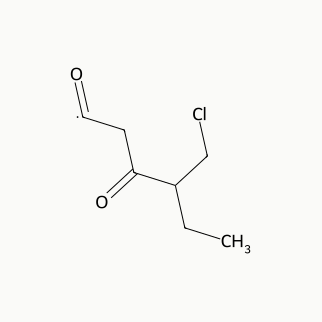 CCC(CCl)C(=O)C[C]=O